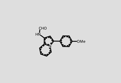 COc1ccc(-c2cc(NC=O)c3ccccn23)cc1